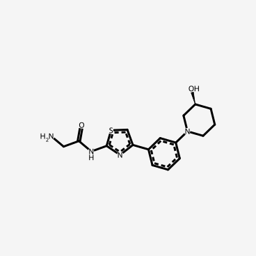 NCC(=O)Nc1nc(-c2cccc(N3CCC[C@H](O)C3)c2)cs1